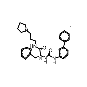 O=C(Nc1cccc(-c2ccccc2)c1)N[C@@H](Cc1ccccc1)C(=O)NCCCN1CCCC1